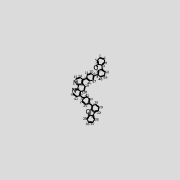 c1ccc2c(c1)oc1c(-c3ccc(-c4ccnc5c4ccc4c(-c6ccc(-c7cccc8c7oc7ccccc78)cc6)ccnc45)cc3)cccc12